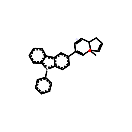 CC/C=C(\C=C/C1CC=CC1)c1ccc2c(c1)c1ccccc1n2-c1ccccc1